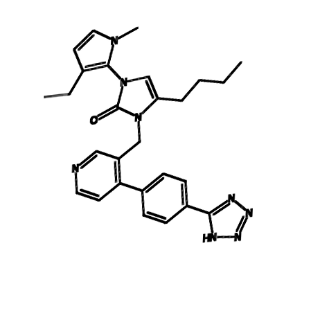 CCCCc1cn(-c2c(CC)ccn2C)c(=O)n1Cc1cnccc1-c1ccc(-c2nnn[nH]2)cc1